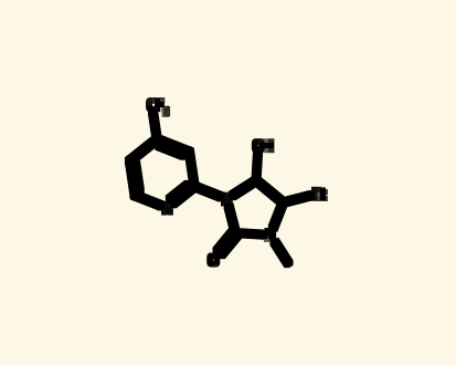 CCC1C(O)N(c2cc(C(F)(F)F)ccn2)C(=O)N1C